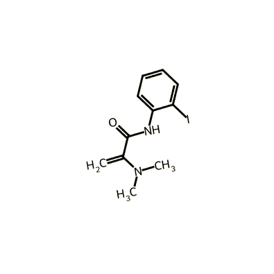 C=C(C(=O)Nc1ccccc1I)N(C)C